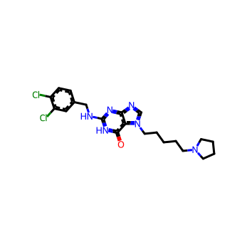 O=c1[nH]c(NCc2ccc(Cl)c(Cl)c2)nc2ncn(CCCCCN3CCCC3)c12